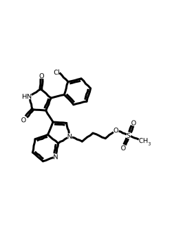 CS(=O)(=O)OCCCn1cc(C2=C(c3ccccc3Cl)C(=O)NC2=O)c2cccnc21